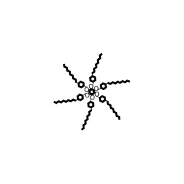 CCCCCCCCCC[C@H]1CC[C@H](COc2c(OC[C@H]3CC[C@H](CCCCCCCCCC)CC3)c(OC[C@H]3CC[C@H](CCCCCCCCCC)CC3)c(OC[C@H]3CC[C@H](CCCCCCCCCC)CC3)c(OC[C@H]3CC[C@H](CCCCCCCCCC)CC3)c2OC[C@H]2CC[C@H](CCCCCCCCCC)CC2)CC1